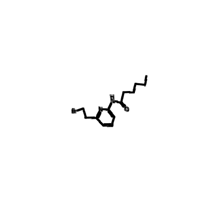 CCCCCC(=O)Nc1cccc(CCBr)n1